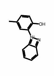 Cc1ccc(O)c([N+]2=c3ccccc3=N2)c1